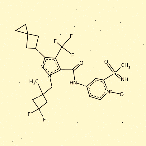 CC1(Cn2nc(C3CC4(CC4)C3)c(C(F)(F)F)c2C(=O)Nc2cc[n+]([O-])c(S(C)(=N)=O)c2)CC(F)(F)C1